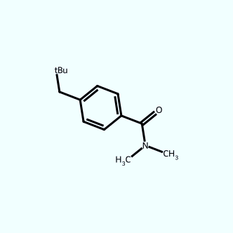 CN(C)C(=O)c1ccc(CC(C)(C)C)cc1